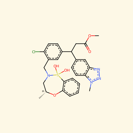 COC(=O)CC(c1ccc(Cl)c(CN2C[C@@H](C)Oc3ccccc3S2(O)O)c1)c1ccc2c(c1)nnn2C